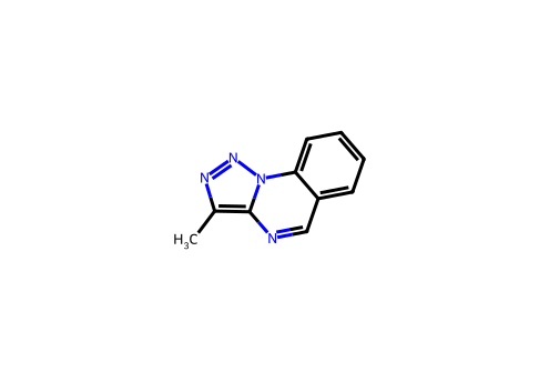 Cc1nnn2c1ncc1ccccc12